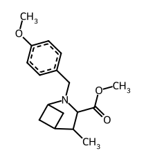 COC(=O)C1C(C)C2CC(C2)N1Cc1ccc(OC)cc1